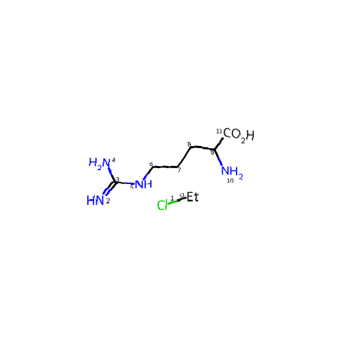 CCCl.N=C(N)NCCCC(N)C(=O)O